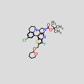 CC(C)(C)OC(=O)N1CCC(N2CCCc3cc(Cl)cc(-c4ccnc5c(F)c(COC6CCCCO6)sc45)c32)C1